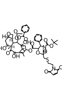 CC(=O)O[C@@]12CO[C@@H]1C[C@H](O)[C@@]1(C)C(=O)[C@H](O)C3=C(C)C(OC(=O)C(OC(=O)CSCCN4C(=O)C=CC4=O)C(NC(=O)OC(C)(C)C)c4ccccc4)C[C@@](O)(C(OC(=O)c4ccccc4)C12)C3(C)C